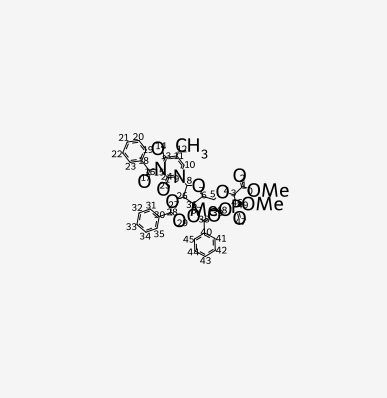 COC(=O)C(OCC1OC(n2cc(C)c(=O)n(C(=O)c3ccccc3)c2=O)C(OC(=O)c2ccccc2)C1OC(=O)c1ccccc1)P(=O)(OC)OC